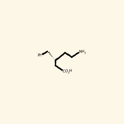 CC(C)C[C@H](CCN)CC(=O)O